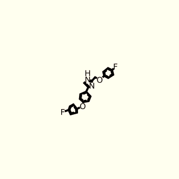 Fc1ccc(OCc2nc(-c3ccc(Oc4ccc(F)cc4)cc3)c[nH]2)cc1